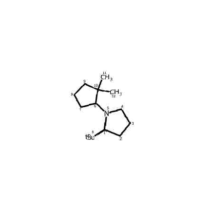 CC(C)(C)C1CCCN1C1CCCC1(C)C